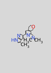 Cc1c[nH]c2ncc(-c3cc4c(c(CN(C)C)n3)COCC4)cc12